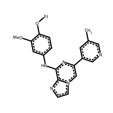 CCOc1ccc(Nc2nc(-c3cncc(C)c3)cn3ccnc23)cc1OC